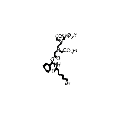 O=C(O)CN(CCN(CC(=O)O)CC(=O)OC(NC(=O)CCCCCBr)c1ccccc1)CC(=O)O